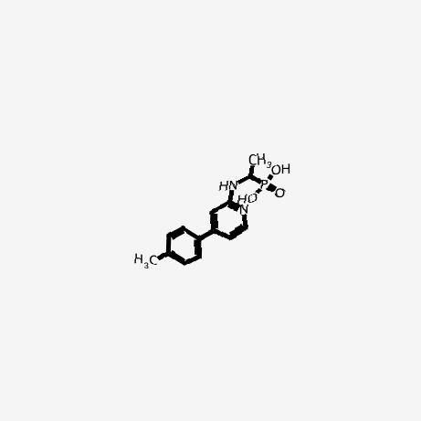 Cc1ccc(-c2ccnc(NC(C)P(=O)(O)O)c2)cc1